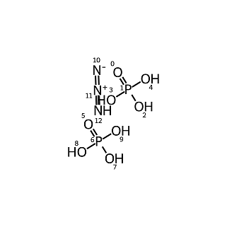 O=P(O)(O)O.O=P(O)(O)O.[N-]=[N+]=N